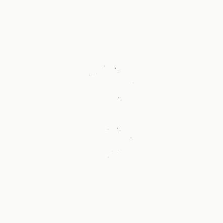 O=C(Cn1ccc2ncc(Br)cc21)N1CCOCC1